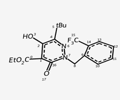 CCOC(=O)c1c(O)c(C(C)(C)C)nn(Cc2ccccc2C(F)(F)F)c1=O